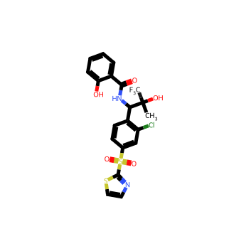 CC(O)(C(NC(=O)c1ccccc1O)c1ccc(S(=O)(=O)c2nccs2)cc1Cl)C(F)(F)F